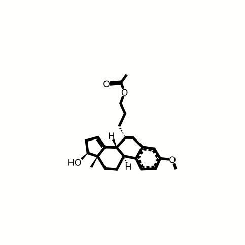 COc1ccc2c(c1)C[C@@H](CCCOC(C)=O)[C@H]1C3=CC[C@H](O)[C@@]3(C)CC[C@H]21